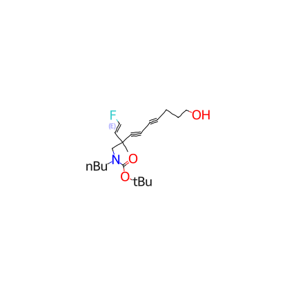 CCCCN(CC(C)(C#CC#CCCCO)/C=C/F)C(=O)OC(C)(C)C